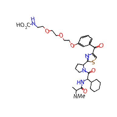 CNC(C)C(=O)NC(C(=O)N1CCCC1c1nc(C(=O)c2cccc(OCCOCCOCCNC(=O)O)c2)cs1)C1CCCCC1